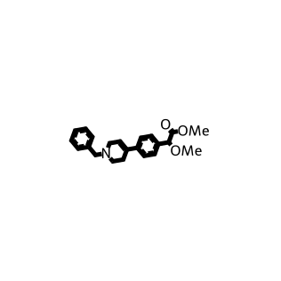 COC(=O)C(OC)c1ccc(C2=CCN(Cc3ccccc3)CC2)cc1